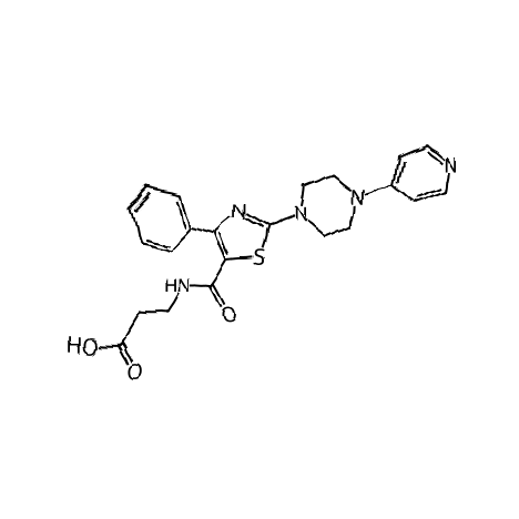 O=C(O)CCNC(=O)c1sc(N2CCN(c3ccncc3)CC2)nc1-c1ccccc1